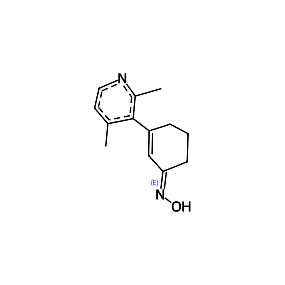 Cc1ccnc(C)c1C1=C/C(=N/O)CCC1